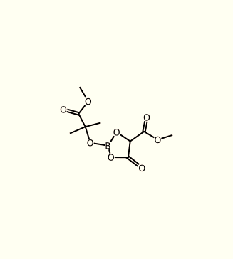 COC(=O)C1OB(OC(C)(C)C(=O)OC)OC1=O